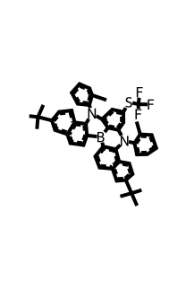 Cc1ccccc1N1c2cc(SC(F)(F)F)cc3c2B(c2ccc4cc(C(C)(C)C)ccc4c21)c1ccc2cc(C(C)(C)C)ccc2c1N3c1ccccc1C